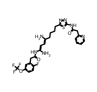 N/C(=C\C=C(/N)NC(=O)Cc1cc(OC(F)(F)F)ccc1F)CCCCc1nnc(NC(=O)Cc2ccccn2)s1